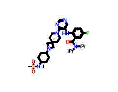 CC(C)N(C(=O)c1cc(F)ccc1Nc1cncnc1N1CCC2(CC1)CN(C1CCC(NS(C)(=O)=O)CC1)C2)C(C)C